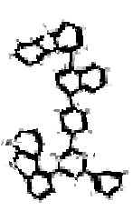 C1=Cc2c(oc3cccc(C4=NC(c5ccccc5)NC(c5ccc(-c6ccc(-c7cccc8oc9ccccc9c78)c7ccccc67)cc5)=N4)c23)NC1